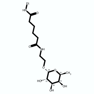 CCNC(=O)CCCCC(=O)NCCO[C@@H]1O[C@@H](C)[C@@H](O)[C@@H](O)[C@@H]1O